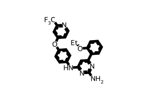 CCOc1ccccc1-c1cc(Nc2ccc(Oc3ccnc(C(F)(F)F)c3)cc2)nc(N)n1